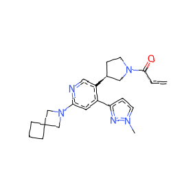 C=CC(=O)N1CC[C@H](c2cnc(N3CC4(CCC4)C3)cc2-c2ccn(C)n2)C1